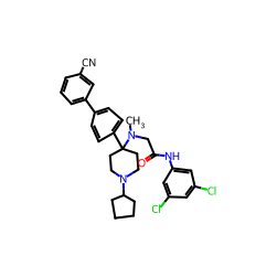 CN(CC(=O)Nc1cc(Cl)cc(Cl)c1)C1(c2ccc(-c3cccc(C#N)c3)cc2)CCN(C2CCCC2)CC1